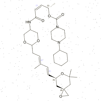 CC(/C=C/[C@@H]1C[C@]2(CO2)CC(C)(C)O1)=C\CC1OCC(NC(=O)/C=C\[C@H](C)OC(=O)N2CCN(C3CCCCC3)CC2)CO1